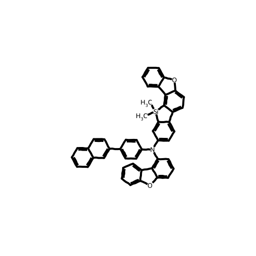 C[Si]1(C)c2cc(N(c3ccc(-c4ccc5ccccc5c4)cc3)c3cccc4oc5ccccc5c34)ccc2-c2ccc3oc4ccccc4c3c21